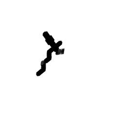 CC#CC(C)(O)CCOCC